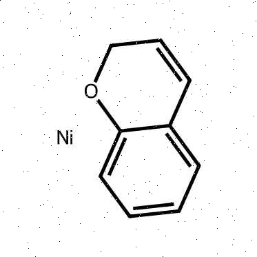 C1=Cc2ccccc2OC1.[Ni]